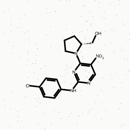 O=[N+]([O-])c1cnc(Nc2ccc(Cl)cc2)nc1N1CCC[C@@H]1CO